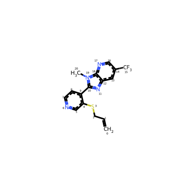 C=CCSc1cnccc1-c1nc2cc(C(F)(F)F)cnc2n1C